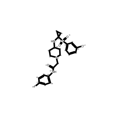 O=C(CN1CCC(NC2(S(=O)(=O)c3cccc(Cl)c3)CC2)CC1)Nc1ccc(F)cc1